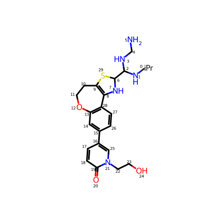 CC(C)NC(NCN)C1NC2=C(CCOc3cc(-c4ccc(=O)n(CCO)c4)ccc32)S1